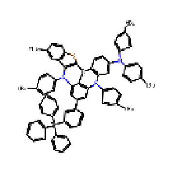 CC(C)(C)c1ccc(N(c2ccc(C(C)(C)C)cc2)c2ccc3c(c2)N(c2ccc(C(C)(C)C)cc2)c2cc(-c4cccc([Si](c5ccccc5)(c5ccccc5)c5ccccc5)c4)cc4c2B3c2sc3ccc(C(C)(C)C)cc3c2N4c2ccc(C(C)(C)C)cc2)cc1